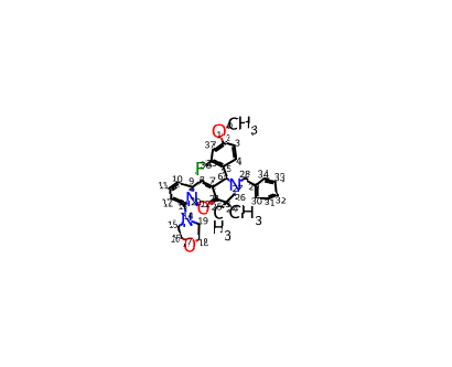 COc1ccc(C2/C(=C/c3cccc(N4CCOCC4)n3)C(=O)C(C)(C)CN2Cc2ccccc2)c(F)c1